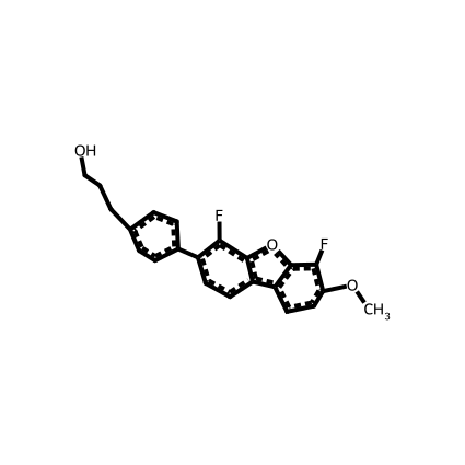 COc1ccc2c(oc3c(F)c(-c4ccc(CCCO)cc4)ccc32)c1F